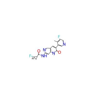 Cc1c(F)cncc1-c1cc2cnc(NC(=O)C3C[C@H]3F)cc2n(C)c1=O